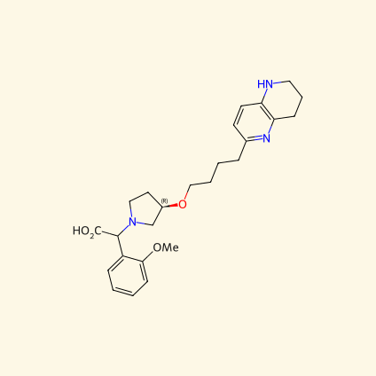 COc1ccccc1C(C(=O)O)N1CC[C@@H](OCCCCc2ccc3c(n2)CCCN3)C1